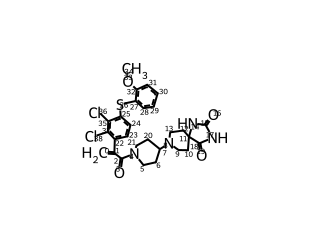 C=C(C(=O)N1CCC(N2CCC3(CC2)NC(=O)NC3=O)CC1)c1ccc(Sc2ccccc2OC)c(Cl)c1Cl